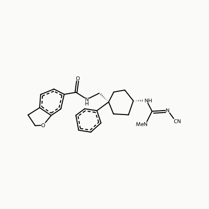 CN/C(=N\C#N)N[C@H]1CC[C@](CNC(=O)c2ccc3c(c2)OCC3)(c2ccccc2)CC1